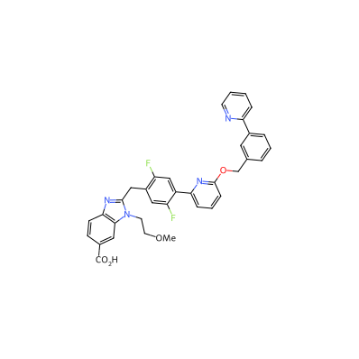 COCCn1c(Cc2cc(F)c(-c3cccc(OCc4cccc(-c5ccccn5)c4)n3)cc2F)nc2ccc(C(=O)O)cc21